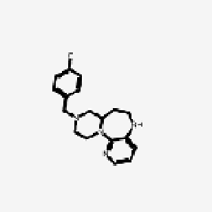 Fc1ccc(CN2CCN3c4ncccc4NCCC3C2)cc1